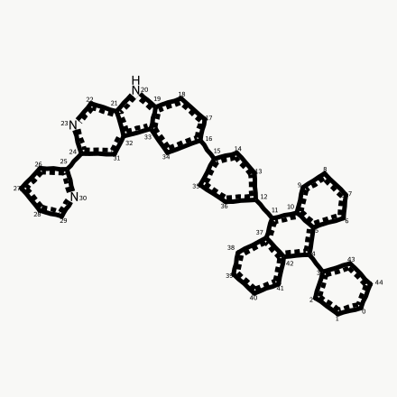 c1ccc(-c2c3ccccc3c(-c3ccc(-c4ccc5[nH]c6cnc(-c7ccccn7)cc6c5c4)cc3)c3ccccc23)cc1